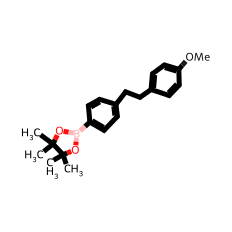 COc1ccc(CCc2ccc(B3OC(C)(C)C(C)(C)O3)cc2)cc1